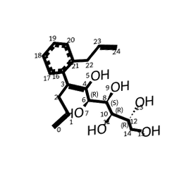 C=CCC(=C(O)[C@H](O)[C@@H](O)[C@H](O)[C@H](O)CO)c1ccccc1CC=C